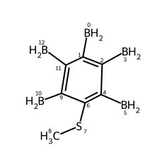 Bc1c(B)c(B)c(SC)c(B)c1B